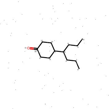 CCCC(CCC)C1CCC(=O)CC1